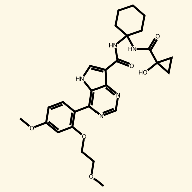 COCCOc1cc(OC)ccc1-c1ncnc2c(C(=O)NC3(NC(=O)C4(O)CC4)CCCCC3)c[nH]c12